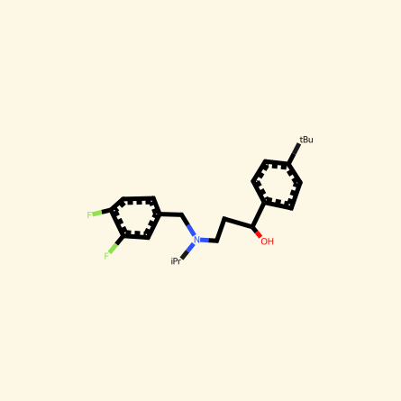 CC(C)N(CCC(O)c1ccc(C(C)(C)C)cc1)Cc1ccc(F)c(F)c1